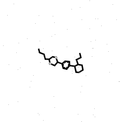 CCCCC1COC(c2ccc(C3CCCCC3CCC)cc2)CO1